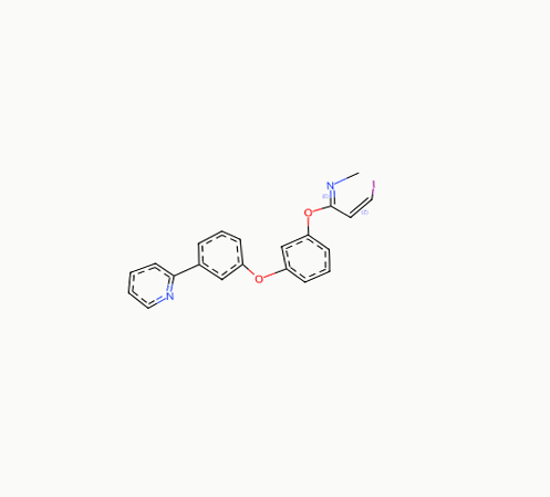 C/N=C(\C=C/I)Oc1cccc(Oc2cccc(-c3ccccn3)c2)c1